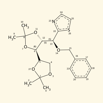 CC1(C)OCC([C@H]2OC(C)(C)O[C@@H]2[C@H](OCc2ccccc2)c2nccs2)O1